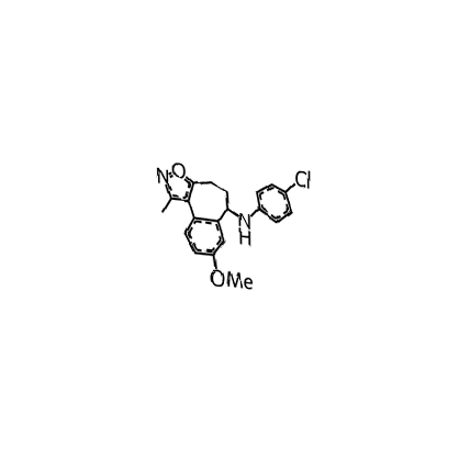 COc1ccc2c(c1)C(Nc1ccc(Cl)cc1)CCc1onc(C)c1-2